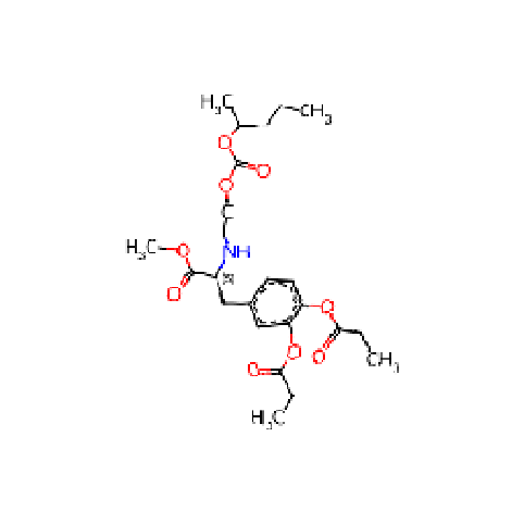 CCCC(C)OC(=O)OCCN[C@@H](Cc1ccc(OC(=O)CC)c(OC(=O)CC)c1)C(=O)OC